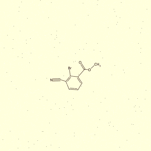 COC(=O)c1cccc(C#N)c1Br